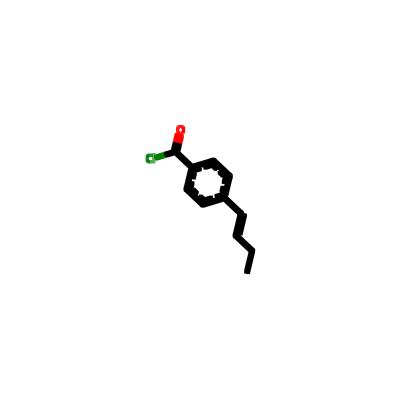 CCC=Cc1ccc(C(=O)Cl)cc1